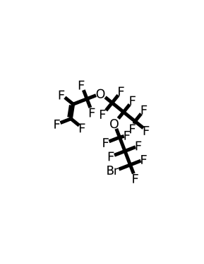 FC(F)=C(F)C(F)(F)OC(F)(F)C(F)(OC(F)(F)C(F)(F)C(F)(F)Br)C(F)(F)F